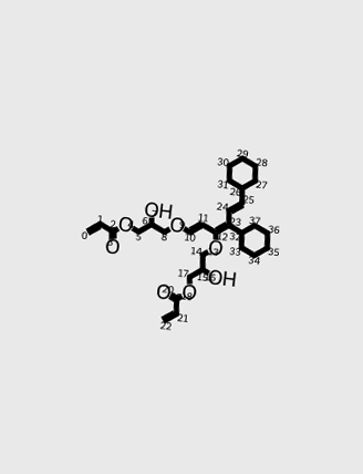 C=CC(=O)OCC(O)CO/C=C/C(OCC(O)COC(=O)C=C)=C(\C=C\C1CCCCC1)C1CCCCC1